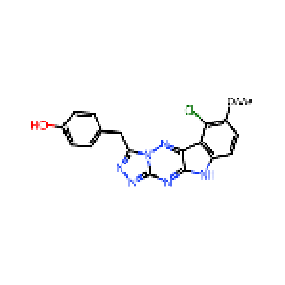 COc1ccc2[nH]c3nc4nnc(Cc5ccc(O)cc5)n4nc3c2c1Cl